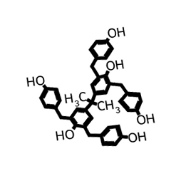 CC(C)(c1cc(Cc2ccc(O)cc2)c(O)c(Cc2ccc(O)cc2)c1)c1cc(Cc2ccc(O)cc2)c(O)c(Cc2ccc(O)cc2)c1